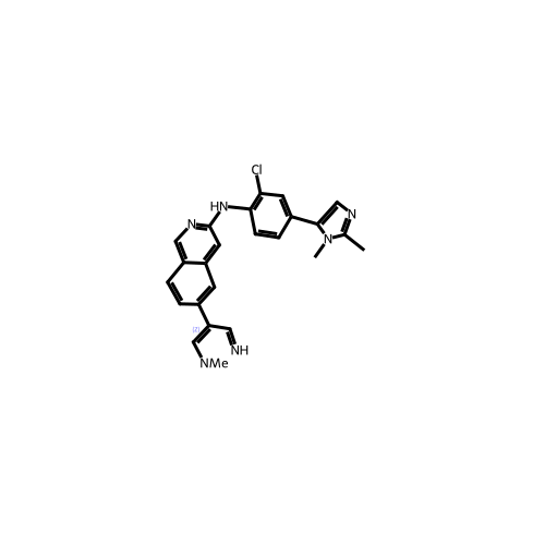 CN/C=C(\C=N)c1ccc2cnc(Nc3ccc(-c4cnc(C)n4C)cc3Cl)cc2c1